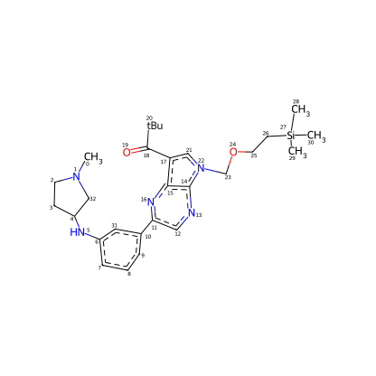 CN1CCC(Nc2cccc(-c3cnc4c(n3)c(C(=O)C(C)(C)C)cn4COCC[Si](C)(C)C)c2)C1